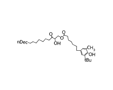 CCCCCCCCCCCCCCCCCC(=O)C(O)COC(=O)CCCCCCc1cc(C)c(O)c(C(C)(C)C)c1